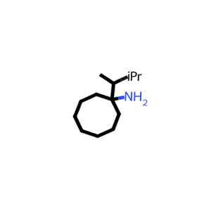 CC(C)C(C)C1(N)CCCCCCC1